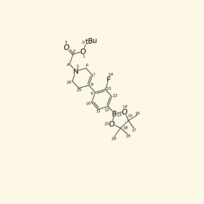 CC(C)(C)OC(=O)CN1CC=C(c2ccc(B3OC(C)(C)C(C)(C)O3)cc2F)CC1